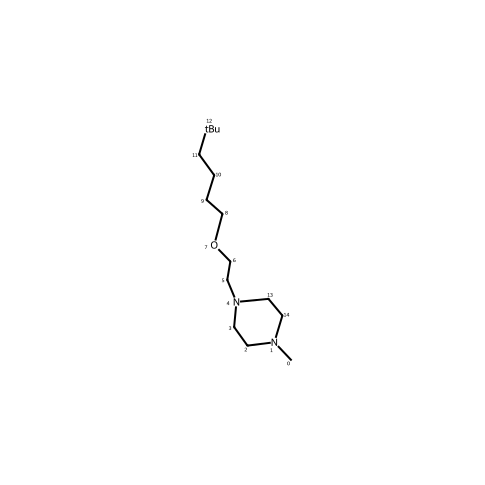 CN1CCN(CCOCCCCC(C)(C)C)CC1